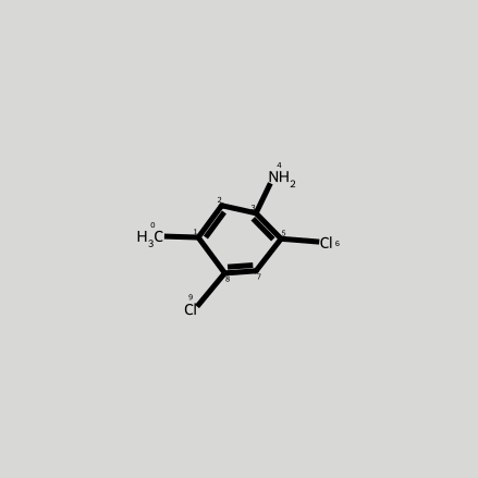 Cc1cc(N)c(Cl)cc1Cl